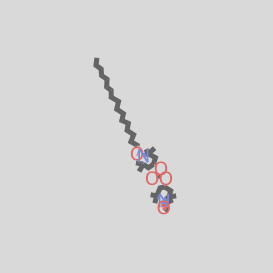 CCCCCCCCCCCCCCCCCON1C(C)(C)CC(OC(=O)OC2CC(C)(C)N(OC)C(C)(C)C2)CC1(C)C